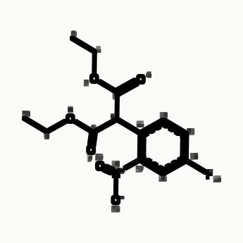 CCOC(=O)C(C(=O)OCC)c1ccc(F)cc1[N+](=O)[O-]